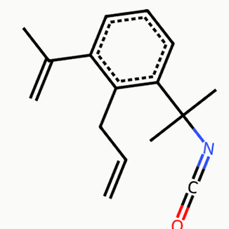 C=CCc1c(C(=C)C)cccc1C(C)(C)N=C=O